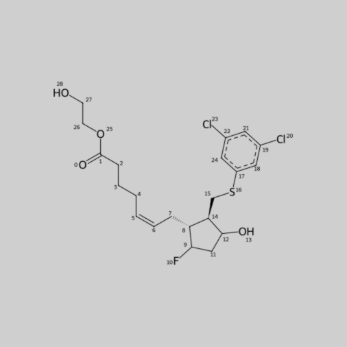 O=C(CCC/C=C\C[C@H]1C(F)CC(O)[C@@H]1CSc1cc(Cl)cc(Cl)c1)OCCO